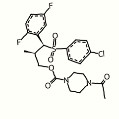 CC(=O)N1CCN(C(=O)OC[C@@H](C)[C@@H](c2cc(F)ccc2F)S(=O)(=O)c2ccc(Cl)cc2)CC1